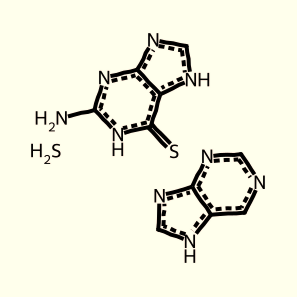 Nc1nc2nc[nH]c2c(=S)[nH]1.S.c1ncc2[nH]cnc2n1